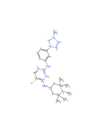 CN1CN(c2cccc(Nc3ncc(F)c(NC4CC(C)(C)N(C)C(C)(C)C4)n3)c2)N=N1